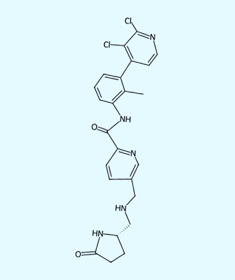 Cc1c(NC(=O)c2ccc(CNC[C@@H]3CCC(=O)N3)cn2)cccc1-c1ccnc(Cl)c1Cl